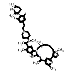 C=C1CC[C@H](c2c(F)cc(CCN3CCC(N(C)C(=C)c4cc5c(cc4C)N/C4=N\C(=C)c6cc(C)nc(c6)-c6cnn(C)c6CCCC[C@@H](C)CN45)CC3)cc2F)C(=C)N1